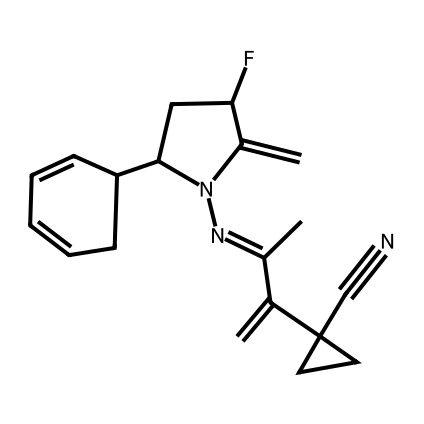 C=C1C(F)CC(C2C=CC=CC2)N1/N=C(\C)C(=C)C1(C#N)CC1